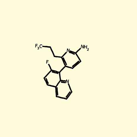 Nc1ccc(-c2c(F)ccc3cccnc23)c(CCC(F)(F)F)n1